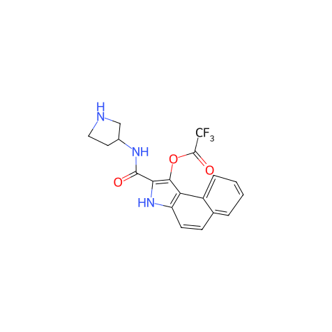 O=C(NC1CCNC1)c1[nH]c2ccc3ccccc3c2c1OC(=O)C(F)(F)F